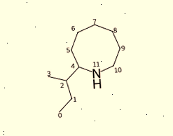 CCC(C)C1CCCCCCN1